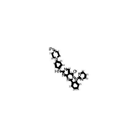 CC(C)N1CCN(c2ccc(Nc3ncc4c(=O)n5c(nc4n3)c3ccccc3n5-c3ncccn3)cc2)CC1